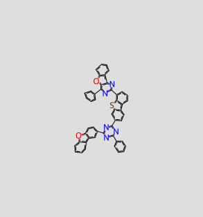 c1ccc(-c2nc(-c3ccc4c(c3)sc3c(-c5nc(-c6ccccc6)c6oc7ccccc7c6n5)cccc34)nc(-c3ccc4oc5ccccc5c4c3)n2)cc1